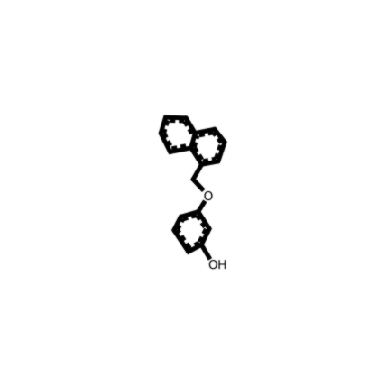 Oc1cccc(OCc2cccc3ccccc23)c1